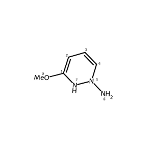 COC1=CC=CN(N)N1